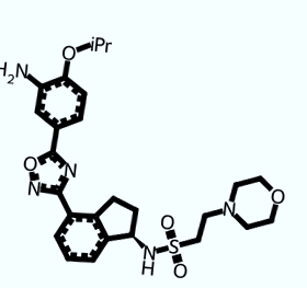 CC(C)Oc1ccc(-c2nc(-c3cccc4c3CC[C@H]4NS(=O)(=O)CCN3CCOCC3)no2)cc1N